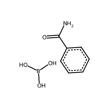 NC(=O)c1ccccc1.OB(O)O